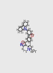 CC(C)c1ccc2n1CCCc1noc(-c3ccc4oc5ccc(-n6c7ccccc7c7ccccc76)cc5c4c3)c1-2